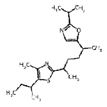 CCC(C)c1sc(C(C)CCC(C)c2cnc(C(C)C)o2)nc1C